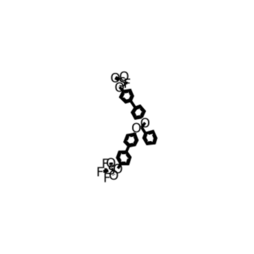 O=S(=O)(F)Oc1ccc(-c2ccc(OC(Oc3ccc(-c4ccc(OS(=O)(=O)C(F)(F)F)cc4)cc3)c3ccccc3)cc2)cc1